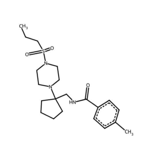 CCCS(=O)(=O)N1CCN(C2(CNC(=O)c3ccc(C)cc3)CCCC2)CC1